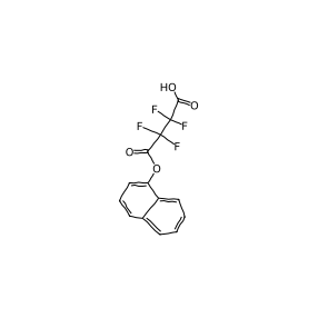 O=C(O)C(F)(F)C(F)(F)C(=O)Oc1cccc2ccccc12